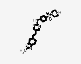 Nc1nc2ccc(/C=C/c3cnc(Nc4ccc(S(=O)(=O)N5CCNCC5)cc4)nc3)cc2s1